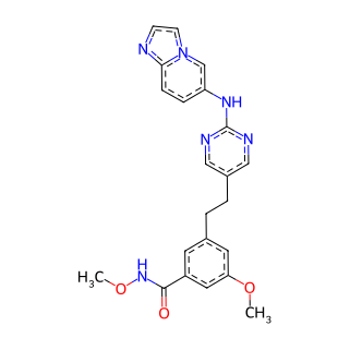 CONC(=O)c1cc(CCc2cnc(Nc3ccc4nccn4c3)nc2)cc(OC)c1